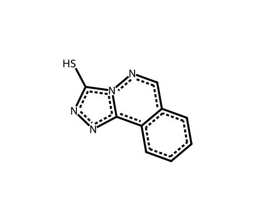 Sc1nnc2c3ccccc3cnn12